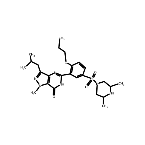 CCCOc1ccc(S(=O)(=O)N2CC(C)NC(C)C2)cc1-c1nc2c(CC(C)C)nn(C)c2c(=O)[nH]1